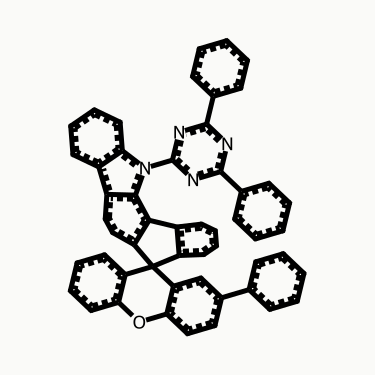 c1ccc(-c2ccc3c(c2)C2(c4ccccc4O3)c3ccccc3-c3c2ccc2c4ccccc4n(-c4nc(-c5ccccc5)nc(-c5ccccc5)n4)c32)cc1